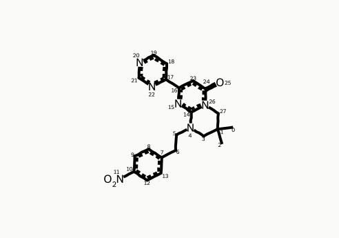 CC1(C)CN(CCc2ccc([N+](=O)[O-])cc2)c2nc(-c3ccncn3)cc(=O)n2C1